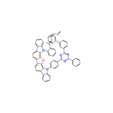 C=C/C=C\C=C(/C)c1ccccc1-n1c2ccccc2c2ccc3c4ccc5c6ccccc6n(-c6ccc(-c7nc(-c8ccccc8)nc(-c8cccc(-c9ccccc9)c8)n7)cc6)c5c4oc3c21